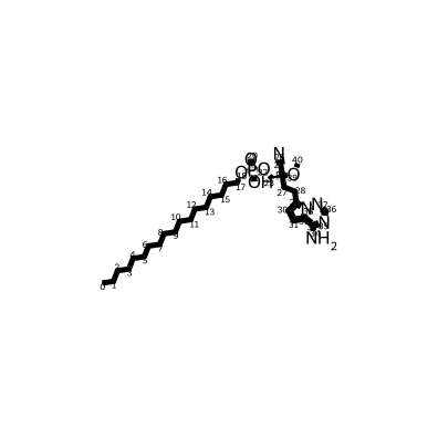 CCCCCCCCCCCCCCCCCCOP(=O)(O)OC[C@](C#N)(CCc1ccc2c(N)ncnn12)OC